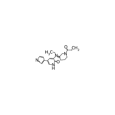 C=CC(=O)N1CCC[C@@H](N(CC)c2cc(-c3ccncc3)c[nH]c2=O)C1